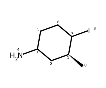 C[C@H]1CC(N)CCC1I